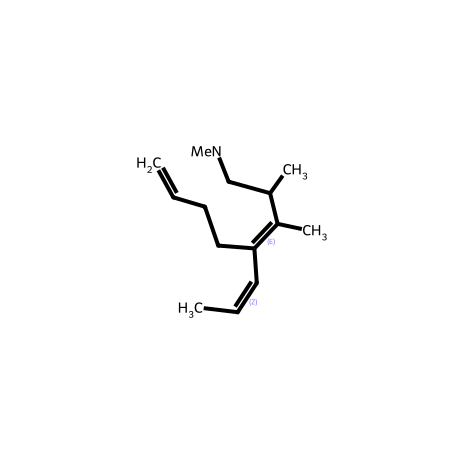 C=CCCC(/C=C\C)=C(/C)C(C)CNC